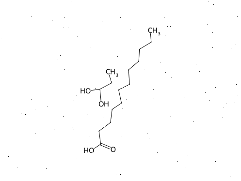 CCC(O)O.CCCCCCCCCCCC(=O)O